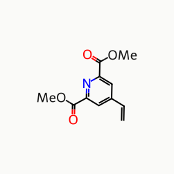 C=Cc1cc(C(=O)OC)nc(C(=O)OC)c1